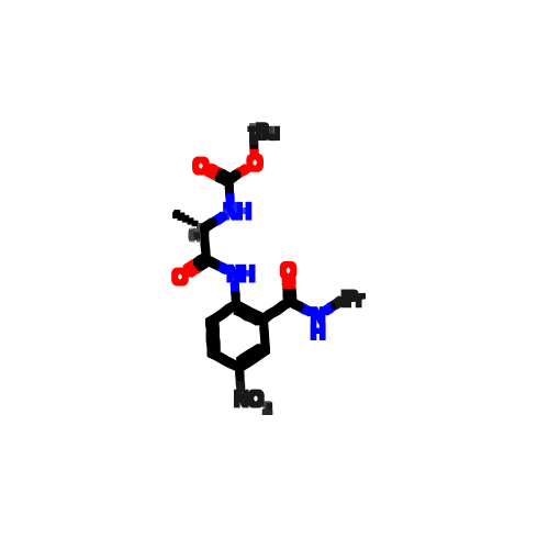 CC(C)NC(=O)c1cc([N+](=O)[O-])ccc1NC(=O)[C@H](C)NC(=O)OC(C)(C)C